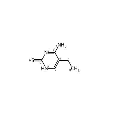 CCc1c[nH]c(=S)nc1N